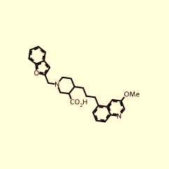 COc1cnc2cccc(CCCC3CCN(Cc4cc5ccccc5o4)CC3C(=O)O)c2c1